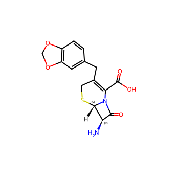 N[C@@H]1C(=O)N2C(C(=O)O)=C(Cc3ccc4c(c3)OCO4)CS[C@@H]12